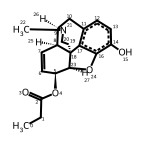 CCC(=O)O[C@H]1C=C[C@H]2[C@H]3Cc4ccc(O)c5c4[C@@]2(CCN3C)[C@H]1O5